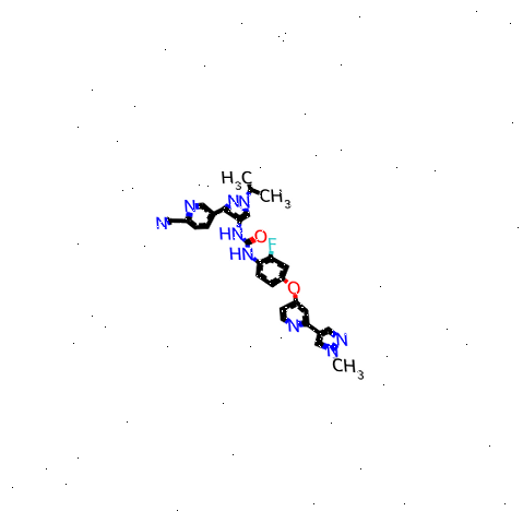 CC(C)n1cc(NC(=O)Nc2ccc(Oc3ccnc(-c4cnn(C)c4)c3)cc2F)c(-c2ccc(C#N)nc2)n1